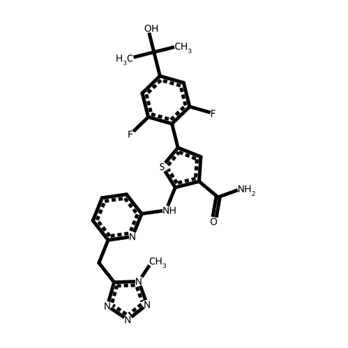 Cn1nnnc1Cc1cccc(Nc2sc(-c3c(F)cc(C(C)(C)O)cc3F)cc2C(N)=O)n1